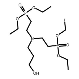 CCOP(=O)(CCN(CCCO)CCP(=O)(OCC)OCI)OCC